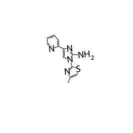 Cc1csc(-n2cc(-c3ccccn3)nc2N)n1